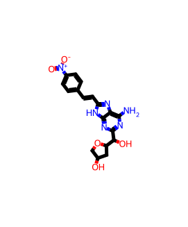 Nc1nc(C(O)C2CC(O)CO2)nc2[nH]c(/C=C/c3ccc([N+](=O)[O-])cc3)nc12